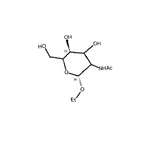 CCO[C@@H]1OC(CO)[C@@H](O)C(O)C1NC(C)=O